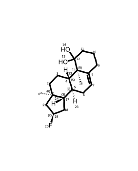 C[C@]12CC[C@H]3[C@@H](CC=C4CCCC(O)(O)[C@@]43C)[C@@H]1C[C@@H](F)C2